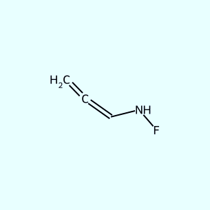 C=C=CNF